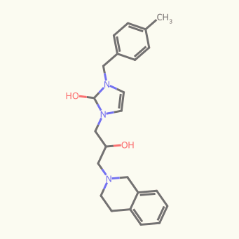 Cc1ccc(CN2C=CN(CC(O)CN3CCc4ccccc4C3)C2O)cc1